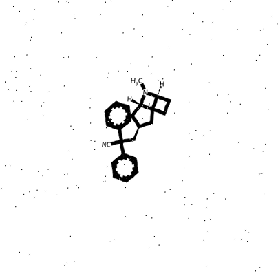 CN1[C@H]2CCC23C[C@@H](CC(C#N)(c2ccccc2)c2ccccc2)C[C@H]13